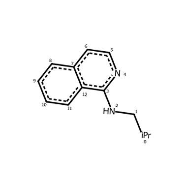 CC(C)CNc1nccc2ccccc12